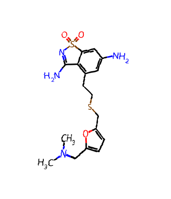 CN(C)Cc1ccc(CSCCc2cc(N)cc3c2C(N)=NS3(=O)=O)o1